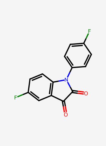 O=C1C(=O)N(c2ccc(F)cc2)c2ccc(F)cc21